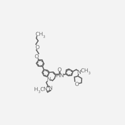 CCCCOCCOc1ccc(-c2ccc3c(c2)C=C(C(=O)Nc2ccc(CN(C)C4CCOCC4)cc2)CCN3Cc2nccn2C)cc1